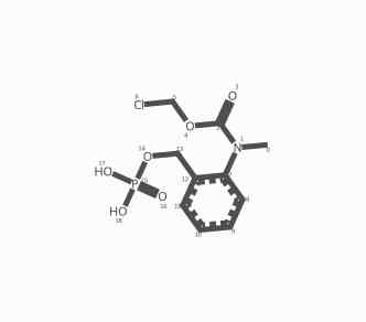 CN(C(=O)OCCl)c1ccccc1COP(=O)(O)O